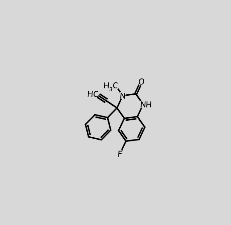 C#CC1(c2ccccc2)c2cc(F)ccc2NC(=O)N1C